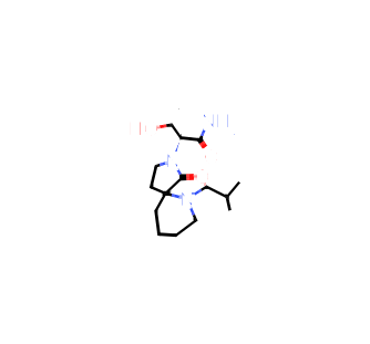 CC(C)CN1CCCCC12CCN([C@H](C(N)=O)[C@@H](C)O)C2=O